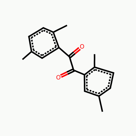 Cc1ccc(C)c(C(=O)C(=O)c2cc(C)ccc2C)c1